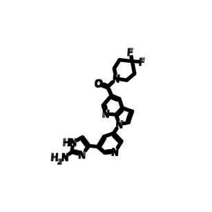 Nc1nc(-c2cncc(-n3ccc4cc(C(=O)N5CCC(F)(F)CC5)cnc43)c2)c[nH]1